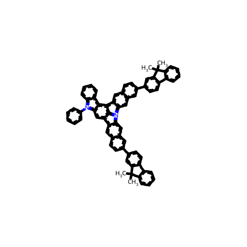 CC1(C)c2ccccc2-c2ccc(-c3ccc4cc5c6cc7c(c8ccccc8n7-c7ccccc7)c7c8cc9ccc(-c%10ccc%11c(c%10)C(C)(C)c%10ccccc%10-%11)cc9cc8n(c5cc4c3)c67)cc21